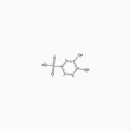 O=S(=O)(O)c1[c]c(O)c(O)cc1